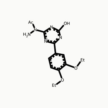 CCOc1ccc(-c2nc(O)nc(N(N)C(C)=O)n2)cc1OCC